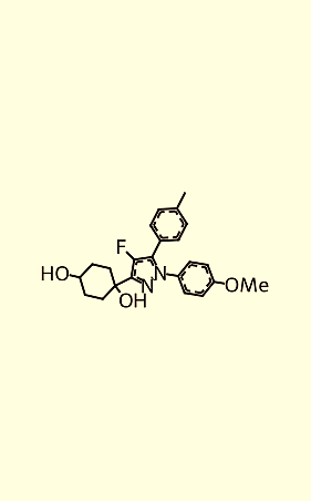 COc1ccc(-n2nc(C3(O)CCC(O)CC3)c(F)c2-c2ccc(C)cc2)cc1